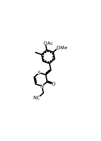 COc1cc(C=C2SC=CN(CC#N)C2=O)cc(C)c1OC(C)=O